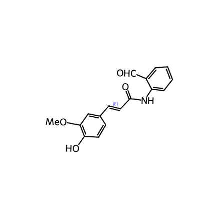 COc1cc(/C=C/C(=O)Nc2ccccc2C=O)ccc1O